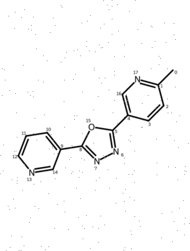 Cc1ccc(-c2nnc(-c3cccnc3)o2)cn1